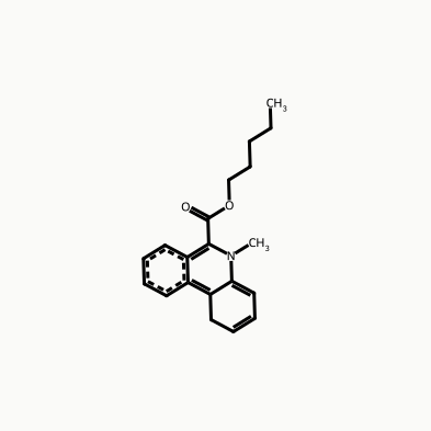 CCCCCOC(=O)C1=c2ccccc2=C2CC=CC=C2N1C